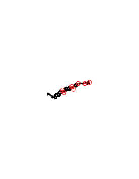 CC(C)CCCC(C)C1CCC2C3CC=C4CC(OC(=O)c5ccc6cc(OC(=O)c7ccc(OCCCCOCC8(C)COC8)cc7)ccc6c5)CCC4(C)C3CCC12C